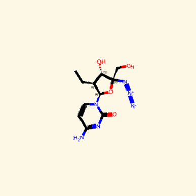 CC[C@@H]1[C@H](n2ccc(N)nc2=O)O[C@@](CO)(N=[N+]=[N-])[C@H]1O